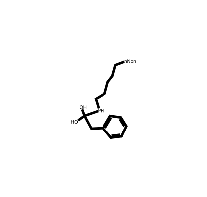 CCCCCCCCCCCCCCPC(O)(O)Cc1ccccc1